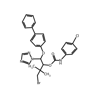 CC(C)(CBr)C(OC(=O)Nc1ccc(Cl)cc1)C(Oc1ccc(-c2ccccc2)cc1)n1cncn1